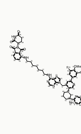 COc1c(F)cc(-c2cc(Cn3cnc4c(NCCCCCCCNc5cccc6c5C(=O)N(C5CCC(=O)NC5=O)C6=O)ncnc43)c(N3CCC[C@](N)(c4ccccn4)C3)cn2)cc1F